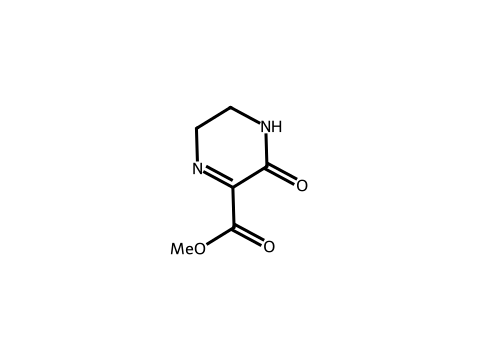 COC(=O)C1=NCCNC1=O